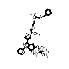 C[C@H](COCCO[C@@H](C)COCc1ccccc1)n1cc(-c2nn(C3CCCCO3)c3ccc(O[Si](C)(C)C(C)(C)C)cc23)cn1